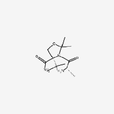 C[C@H](N)C(=O)N1C(C)(C)OC[C@@]1(C(N)=O)C(C)(C)C